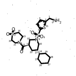 NCc1ccc(S(=O)(=O)N2C[C@H](C(=O)N3CCS(=O)(=O)CC3)C[C@@H](C3CCCCC3)C2)s1